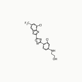 OCCNc1ccc(-c2noc(-c3cn4cc(C(F)(F)F)cc(Cl)c4n3)n2)c(Cl)c1